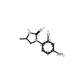 CC1CN(c2ccc(N)cc2Cl)C(=O)O1